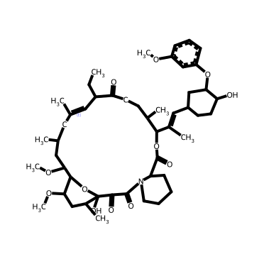 CCC1/C=C(\C)CC(C)CC(OC)C2OC(O)(C(=O)C(=O)N3CCCCC3C(=O)OC(C(C)=CC3CCC(O)C(Oc4cccc(OC)c4)C3)C(C)CCC1=O)C(C)CC2OC